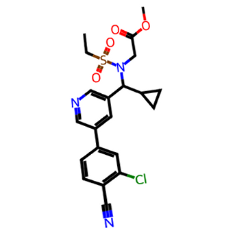 CCS(=O)(=O)N(CC(=O)OC)C(c1cncc(-c2ccc(C#N)c(Cl)c2)c1)C1CC1